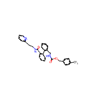 O=C(NCc1ccccc1-c1ccccc1C(=O)NCCc1ccccn1)OCc1ccc(C(F)(F)F)cc1